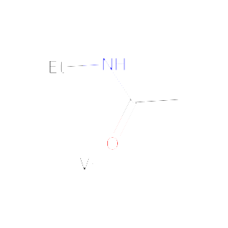 CCNC(C)=O.[V]